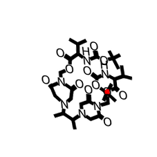 CC(C)C(NC(=O)OC(C)(C)C)C(=O)OCN1C(=O)CN(C(C)C(C)N2CC(=O)N(COC(=O)C(NC(=O)OC(C)(C)C)C(C)C)C(=O)C2)CC1=O